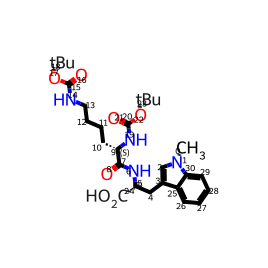 Cn1cc(C[C@@H](NC(=O)[C@H](CCCCNC(=O)OC(C)(C)C)NC(=O)OC(C)(C)C)C(=O)O)c2ccccc21